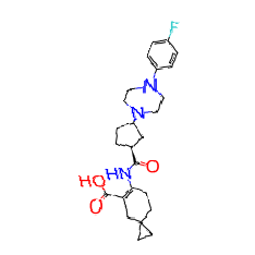 O=C(O)C1=C(NC(=O)[C@H]2CC[C@@H](N3CCN(c4ccc(F)cc4)CC3)C2)CCC2(CC2)C1